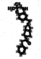 CC1(C)CNc2cc(SN3CC4=C(C3)CN(C(=O)Cc3ccccc3)C4)ccc2O1